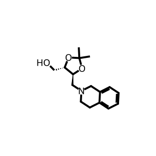 CC1(C)O[C@@H](CO)[C@H](CN2CCc3ccccc3C2)O1